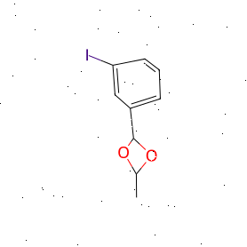 CC1OC(c2cccc(I)c2)O1